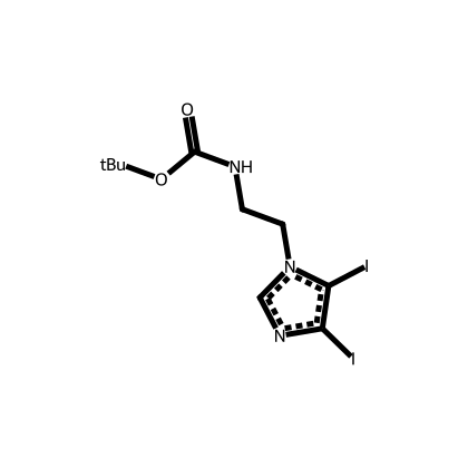 CC(C)(C)OC(=O)NCCn1cnc(I)c1I